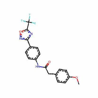 COc1ccc(CC(=O)Nc2ccc(-c3noc(C(F)(F)F)n3)cc2)cc1